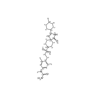 Cc1cc(N(C)C(N)=S)cc(C)c1CCS(=O)(=O)N1CCC2(CC1)N=C(C1CCC(C)CC1)NC2=O